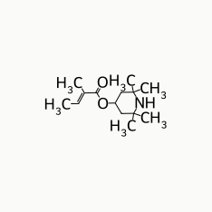 CC=C(C)C(=O)OC1CC(C)(C)NC(C)(C)C1